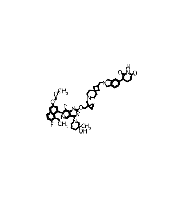 CCc1c(F)ccc2cc(OCOC)cc(-c3ncc4c(N5CCC[C@@](C)(O)C5)nc(OCC5(CN6CCC7(CC6)CC(CN6Cc8ccc(C9CCC(=O)NC9=O)cc8C6)C7)CC5)nc4c3F)c12